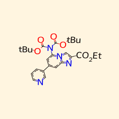 CCOC(=O)c1cn2c(N(C(=O)OC(C)(C)C)C(=O)OC(C)(C)C)cc(-c3cccnc3)cc2n1